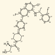 CC(Nc1c(Cl)cnc2cc(F)c(-c3cnc(N4CCN(C(=O)[C@H](N)CO)CC4)nc3)cc12)c1ccccc1F